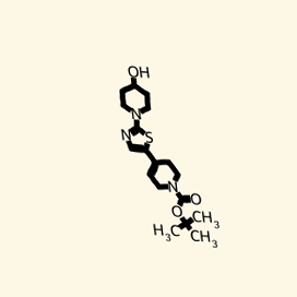 CC(C)(C)OC(=O)N1CC=C(c2cnc(N3CCC(O)CC3)s2)CC1